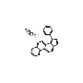 C1=CCc2ccc3c4c(ccc3c2=C1)C=CC=4c1ccccc1.[Cl-].[Cl-].[Cl-].[Ti+3]